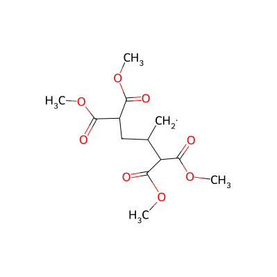 [CH2]C(CC(C(=O)OC)C(=O)OC)C(C(=O)OC)C(=O)OC